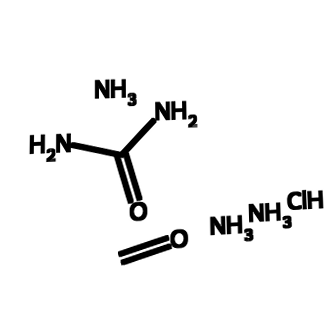 C=O.Cl.N.N.N.NC(N)=O